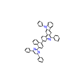 c1ccc(-c2cc(-c3ccccc3)nc(-c3ccc(-c4ccc5c(c4)nc(-c4ccccc4)c4cc6c7ccccc7n(-c7ccccc7)c6cc45)c4ccccc34)n2)cc1